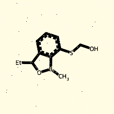 CCC1OB(C)c2c(SCO)cccc21